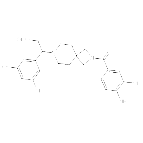 Nc1ccc(C(=O)N2CC3(CCN(C(CC=O)c4cc(Cl)cc(Cl)c4)CC3)C2)cc1O